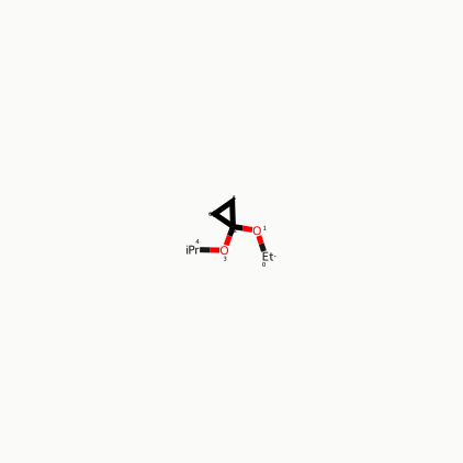 C[CH]OC1(OC(C)C)CC1